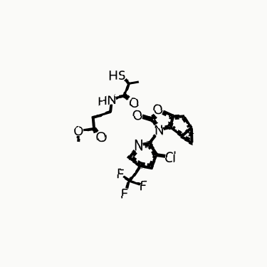 COC(=O)CCNC(=O)C(C)S.O=c1oc2cc3cc-3c2n1-c1ncc(C(F)(F)F)cc1Cl